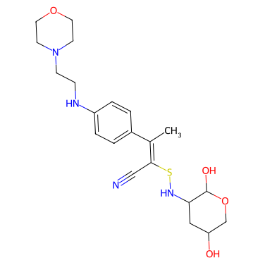 C/C(=C(/C#N)SNC1CC(O)COC1O)c1ccc(NCCN2CCOCC2)cc1